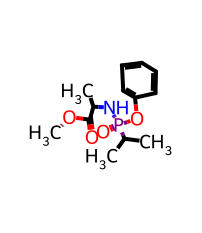 COC(=O)C(C)NP(=O)(Oc1ccccc1)C(C)C